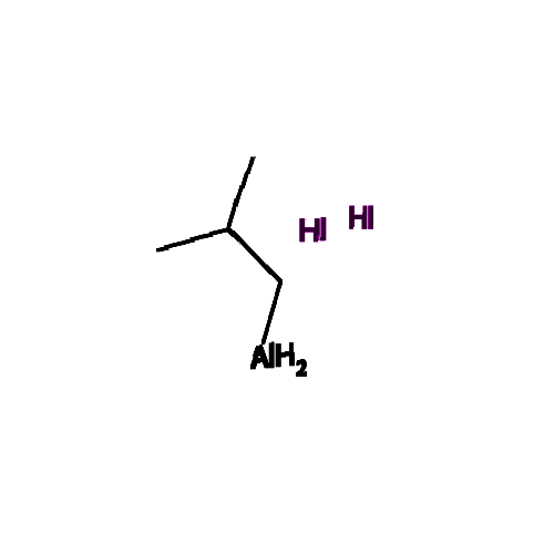 CC(C)[CH2][AlH2].I.I